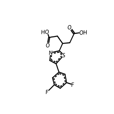 O=C(O)CC(CC(=O)O)c1ncc(-c2cc(F)cc(F)c2)s1